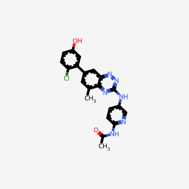 CC(=O)Nc1ccc(Nc2nnc3cc(-c4cc(O)ccc4Cl)cc(C)c3n2)cn1